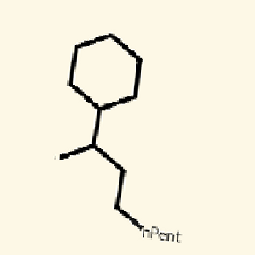 [CH2]CCCCCCC([CH2])C1CCCCC1